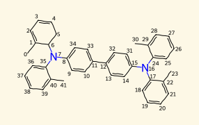 CC1=CC=CCC1N(c1ccc(-c2ccc(N(c3ccccc3C)c3ccccc3C)cc2)cc1)c1ccccc1C